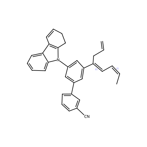 C=CC/C(=C\C=C/C)c1cc(-c2cccc(C#N)c2)cc(-n2c3c(c4ccccc42)C=CCC3)c1